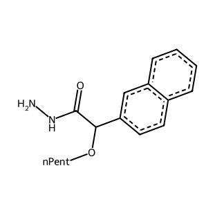 CCCCCOC(C(=O)NN)c1ccc2ccccc2c1